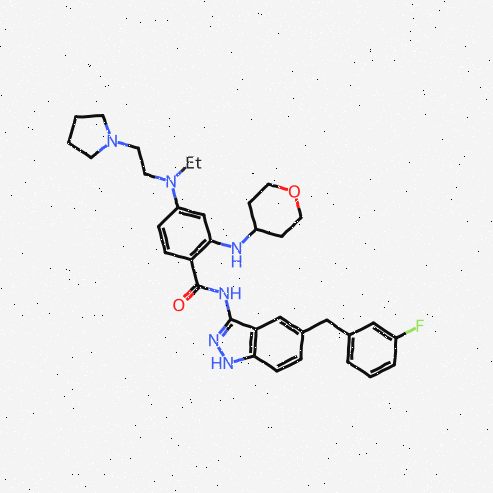 CCN(CCN1CCCC1)c1ccc(C(=O)Nc2n[nH]c3ccc(Cc4cccc(F)c4)cc23)c(NC2CCOCC2)c1